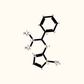 CN(C)C(Sc1nccn1C)c1ccccc1